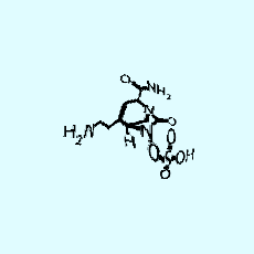 NCCC1=C[C@@H](C(N)=O)N2C[C@@H]1N(OS(=O)(=O)O)C2=O